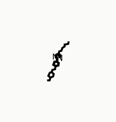 CCCCCCCc1cnc(-c2ccc(CCC3CCC(CC)CC3)cc2)nc1